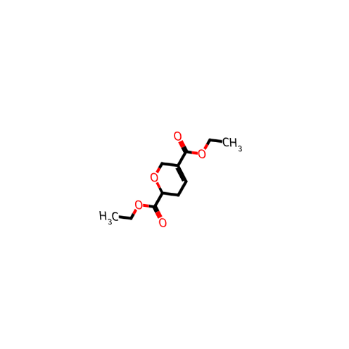 CCOC(=O)C1=CCC(C(=O)OCC)OC1